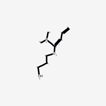 C=C/C=C(/OCCCO)N(C)C